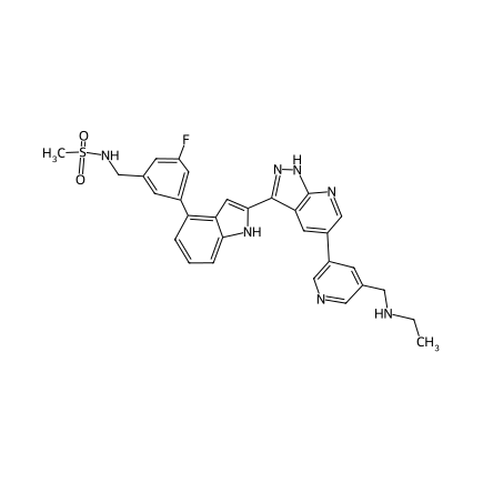 CCNCc1cncc(-c2cnc3[nH]nc(-c4cc5c(-c6cc(F)cc(CNS(C)(=O)=O)c6)cccc5[nH]4)c3c2)c1